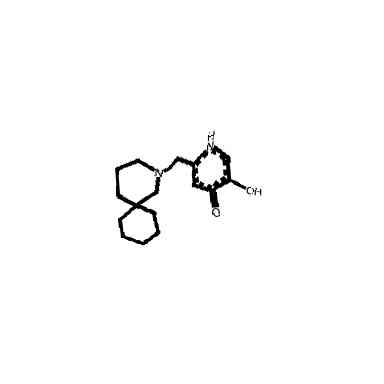 O=c1cc(CN2CCCC3(CCCCC3)C2)[nH]cc1O